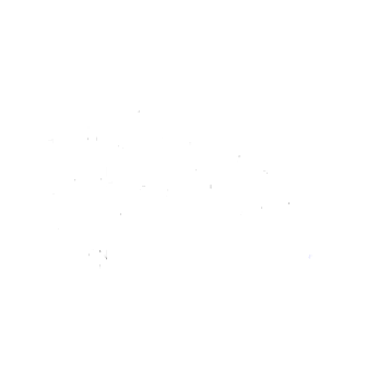 C/C=C/CCC1CCC(c2ccc(C(F)(F)OC(C)c3ccc(C#N)cc3)cc2)CC1